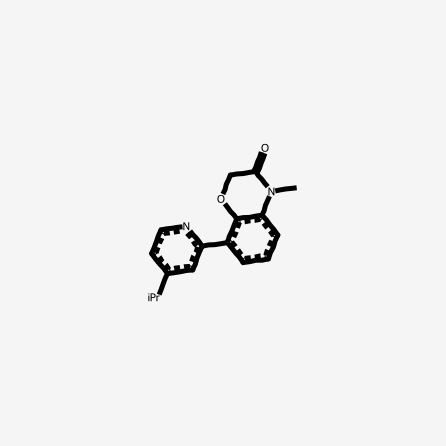 CC(C)c1ccnc(-c2cccc3c2OCC(=O)N3C)c1